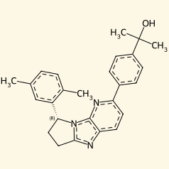 Cc1ccc(C)c([C@H]2CCc3nc4ccc(-c5ccc(C(C)(C)O)cc5)nc4n32)c1